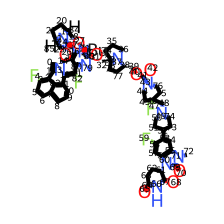 C#Cc1c(F)ccc2cccc(-c3ncc4c(N5C[C@H]6CC[C@@H](C5)N6C(=O)OC(C)(C)C)nc(OC[C@@]56CCCN5[C@H](COC(=O)N5CCC(F)(CN7CCC(c8cc9c(cc8F)n(C8CCC(=O)NC8=O)c(=O)n9C)CC7)CC5)CC6)nc4c3F)c12